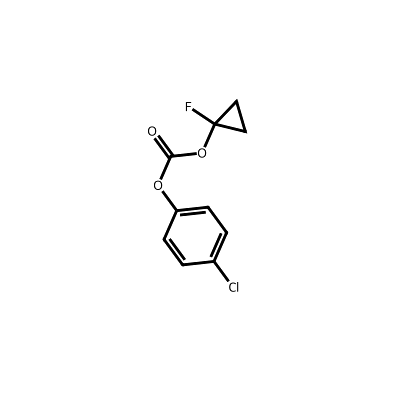 O=C(Oc1ccc(Cl)cc1)OC1(F)CC1